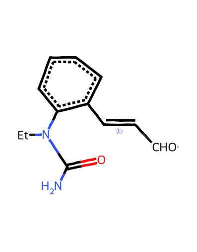 CCN(C(N)=O)c1ccccc1/C=C/[C]=O